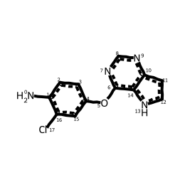 Nc1ccc(Oc2ncnc3cc[nH]c23)cc1Cl